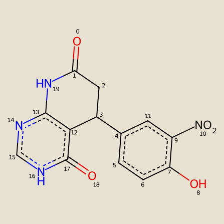 O=C1CC(c2ccc(O)c([N+](=O)[O-])c2)c2c(nc[nH]c2=O)N1